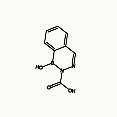 O=C(O)N1N=Cc2ccccc2B1O